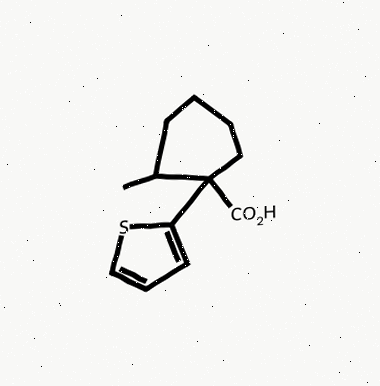 CC1CCCCC1(C(=O)O)c1cccs1